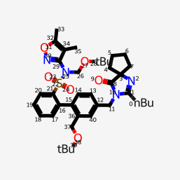 CCCCC1=NC2(CCCC2)C(=O)N1Cc1ccc(-c2ccccc2S(=O)(=O)N(COC(C)(C)C)c2noc(C)c2C)c(COC(C)(C)C)c1